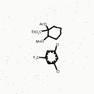 CCOC(=O)C1(OC(C)=O)CCCCC1OC.FC(F)(F)c1cc(Cl)cc(Cl)c1